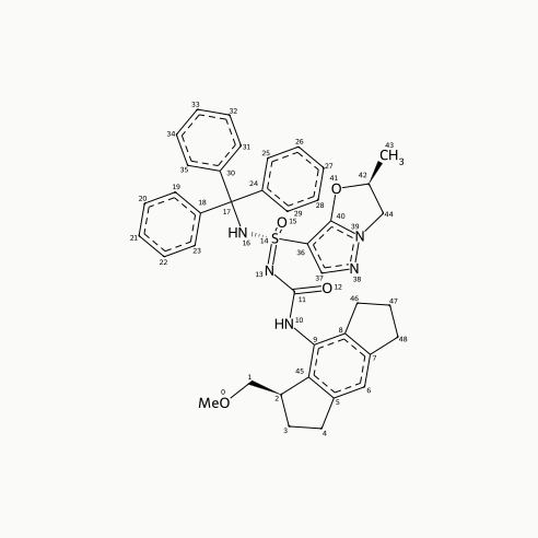 COC[C@@H]1CCc2cc3c(c(NC(=O)N=[S@](=O)(NC(c4ccccc4)(c4ccccc4)c4ccccc4)c4cnn5c4O[C@@H](C)C5)c21)CCC3